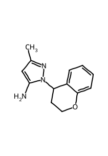 Cc1cc(N)n(C2CCOc3ccccc32)n1